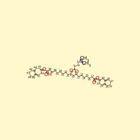 CN(C)CCCC(=O)OC(CCCCCCCCC(=O)OC1CCC2CCCCC2C1)CCCCCCCCC(O)OC1CCC2CCCCC2CC1